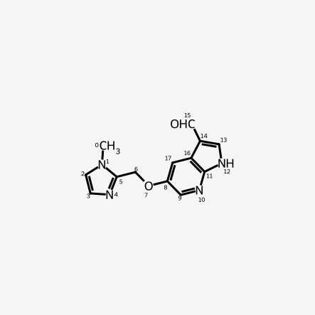 Cn1ccnc1COc1cnc2[nH]cc(C=O)c2c1